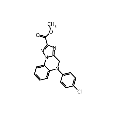 COC(=O)c1nc2n(n1)-c1ccccc1N(c1ccc(Cl)cc1)C2